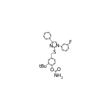 CC(C)(C)c1cc(CSc2nc(-c3ccccc3)cn2-c2cccc(F)c2)ccc1OC(N)=O